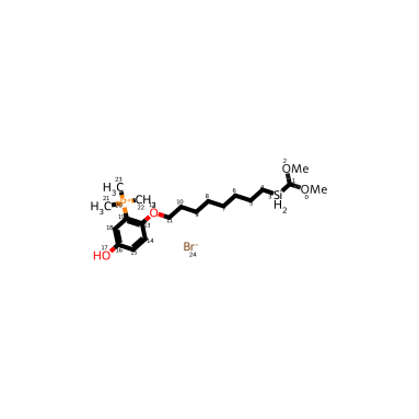 COC(OC)[SiH2]CCCCCCCCOc1ccc(O)cc1[P+](C)(C)C.[Br-]